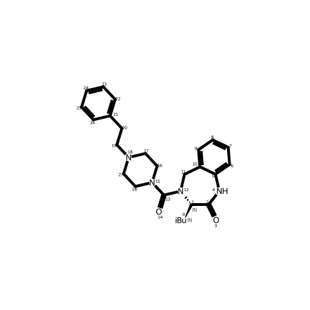 CC[C@H](C)[C@H]1C(=O)Nc2ccccc2CN1C(=O)N1CCN(CCc2ccccc2)CC1